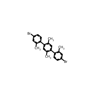 Cc1cc(Br)ccc1-c1cc(C)c(-c2ccc(Br)cc2C)cc1C